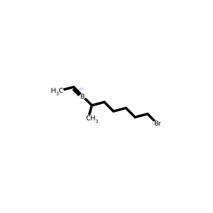 C/C=B/C(C)CCCCCBr